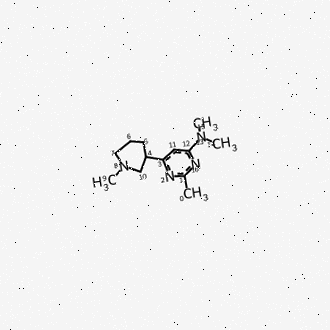 Cc1nc(C2CCCN(C)C2)cc(N(C)C)n1